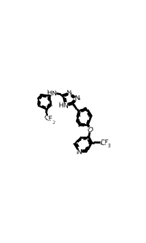 FC(F)(F)c1cccc(Nc2nnc(-c3ccc(Oc4ccncc4C(F)(F)F)cc3)[nH]2)c1